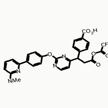 CNc1cccc(-c2ccc(Oc3nccc(C(CC(=O)OC(=O)C(F)(F)F)c4ccc(C(=O)O)cc4)n3)cc2)n1